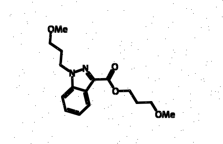 COCCCOC(=O)c1nn(CCCOC)c2ccccc12